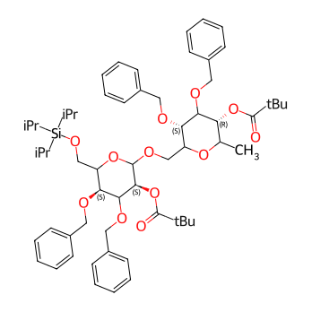 CC1OC(COC2OC(CO[Si](C(C)C)(C(C)C)C(C)C)[C@H](OCc3ccccc3)C(OCc3ccccc3)[C@@H]2OC(=O)C(C)(C)C)[C@H](OCc2ccccc2)C(OCc2ccccc2)[C@@H]1OC(=O)C(C)(C)C